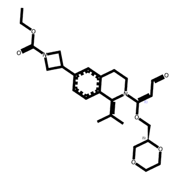 CCOC(=O)N1CC(c2ccc3c(c2)CCN(/C(=C\C=O)OC[C@@H]2COCCO2)C3=C(C)C)C1